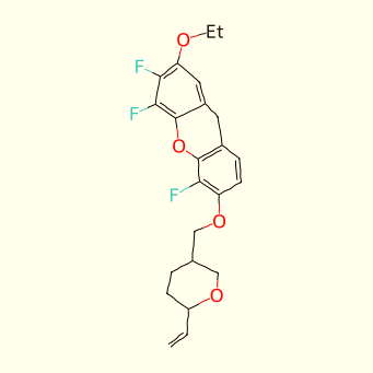 C=CC1CCC(COc2ccc3c(c2F)Oc2c(cc(OCC)c(F)c2F)C3)CO1